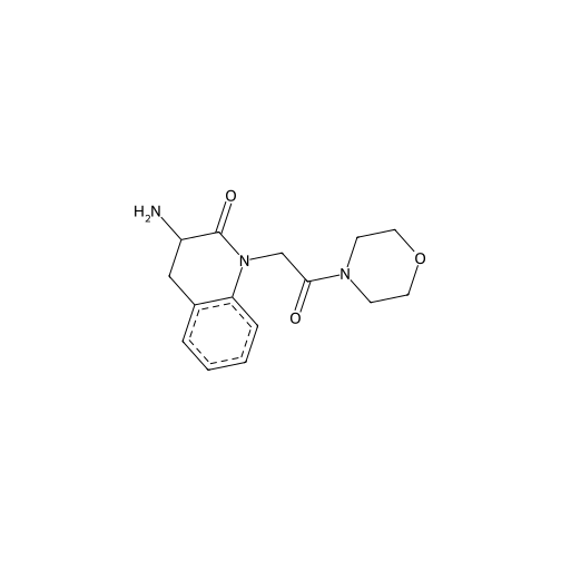 NC1Cc2ccccc2N(CC(=O)N2CCOCC2)C1=O